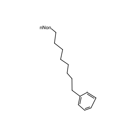 CCCCCCCCCCCCCCCCCc1[c]cccc1